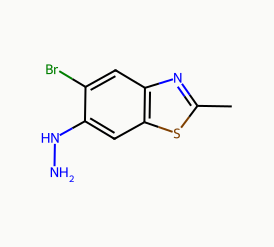 Cc1nc2cc(Br)c(NN)cc2s1